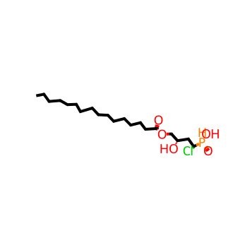 CCCCCCCCCCCCCCCC(=O)OC[C@@H](O)CC(Cl)[PH](=O)O